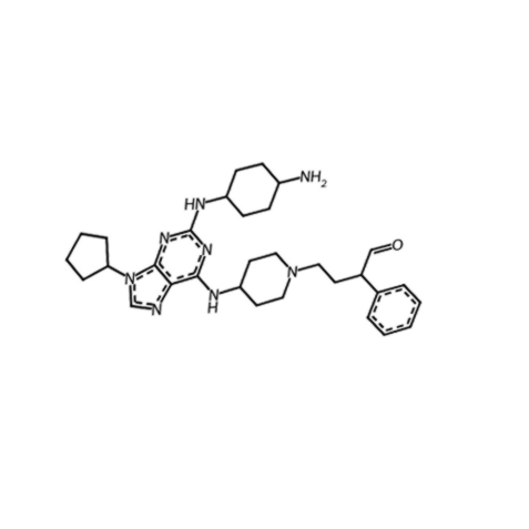 NC1CCC(Nc2nc(NC3CCN(CCC(C=O)c4ccccc4)CC3)c3ncn(C4CCCC4)c3n2)CC1